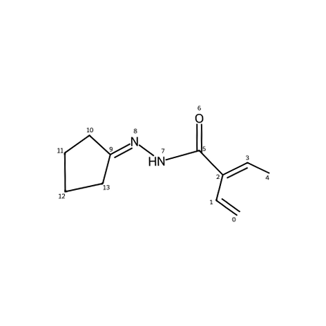 C=C/C(=C\C)C(=O)NN=C1CCCC1